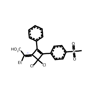 CC/C(C(=O)O)=C1/C(c2ccccc2)=C(c2ccc(S(C)(=O)=O)cc2)C1(Cl)Cl